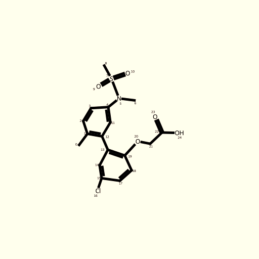 Cc1ccc(N(C)S(C)(=O)=O)cc1-c1cc(Cl)ccc1OCC(=O)O